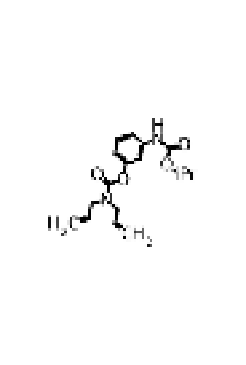 C=CCN(CC=C)C(=O)Oc1cccc(NC(=O)OC(C)C)c1